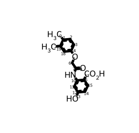 Cc1ccc(OCC(=O)Nc2cc(O)ccc2C(=O)O)cc1C